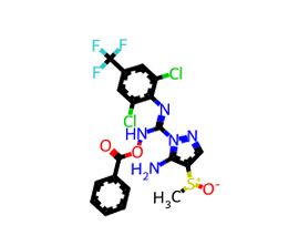 C[S+]([O-])c1cnn(C(=Nc2c(Cl)cc(C(F)(F)F)cc2Cl)NOC(=O)c2ccccc2)c1N